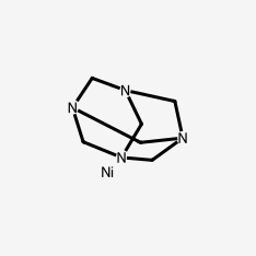 C1N2CN3CN1CN(C2)C3.[Ni]